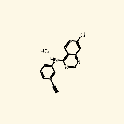 C#Cc1cccc(Nc2ncnc3cc(Cl)ccc23)c1.Cl